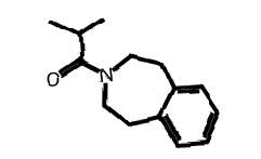 CC(C)C(=O)N1CCc2ccccc2CC1